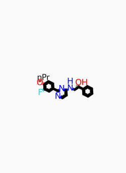 CCCOc1ccc(-c2nccc(NC[C@H](O)c3ccccc3)n2)cc1F